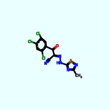 Cc1nsc(N/N=C(\C#N)C(=O)c2cc(Cl)c(Cl)cc2Cl)n1